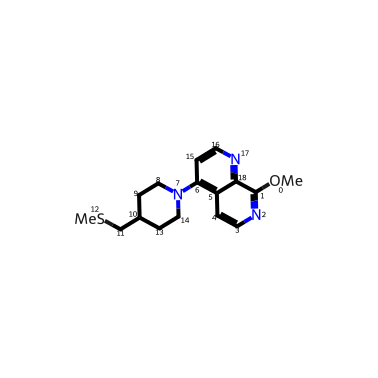 COc1nccc2c(N3CCC(CSC)CC3)ccnc12